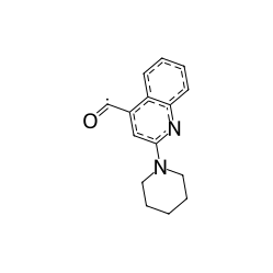 O=[C]c1cc(N2CCCCC2)nc2ccccc12